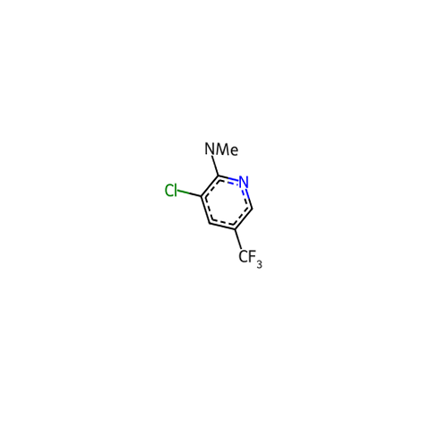 CNc1ncc(C(F)(F)F)cc1Cl